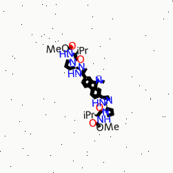 COC(=O)N[C@H](C(=O)N1CCC[C@H]1c1ncc(-c2ccc3c(c2)C(N(C)C)c2cc(-c4cnc([C@@H]5CCCN5C(=O)[C@@H](NC(=O)OC)C(C)C)[nH]4)ccc2-3)[nH]1)C(C)C